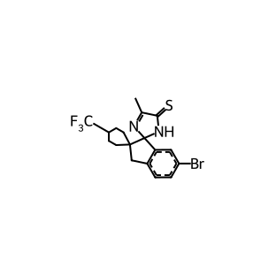 CC1=NC2(NC1=S)c1cc(Br)ccc1CC21CCC(C(F)(F)F)CC1